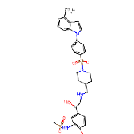 CS(=O)(=O)Nc1cc([C@@H](O)CNCC2CCN(S(=O)(=O)c3ccc(-n4ccc5c(C(=O)O)cccc54)cc3)CC2)ccc1O